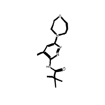 Cc1cc(N2CCOCC2)nnc1NC(=O)C(C)(C)C